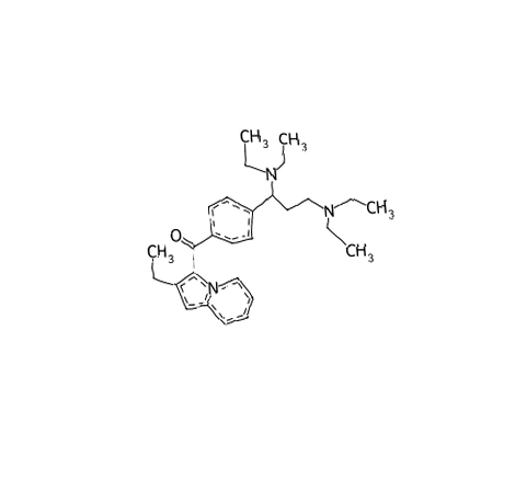 CCc1cc2ccccn2c1C(=O)c1ccc(C(CCN(CC)CC)N(CC)CC)cc1